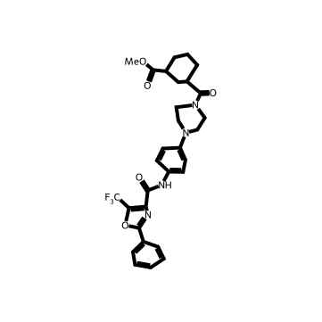 COC(=O)C1CCCC(C(=O)N2CCN(c3ccc(NC(=O)c4nc(-c5ccccc5)oc4C(F)(F)F)cc3)CC2)C1